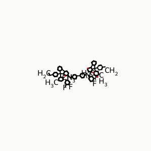 C=CC1=CCC(C2(c3cc(C)ccc3C)c3ccccc3-c3ccc(N(c4ccc(-c5ccc(N(c6ccc(F)c(F)c6)c6ccc7c(c6)C(c6ccc(C=C)cc6)(c6cc(C)ccc6C)c6ccccc6-7)cc5)cc4)c4ccc(F)c(F)c4)cc32)C=C1